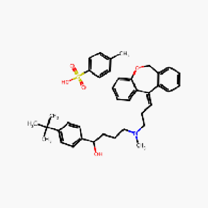 CN(CCC=C1c2ccccc2COc2ccccc21)CCCC(O)c1ccc(C(C)(C)C)cc1.Cc1ccc(S(=O)(=O)O)cc1